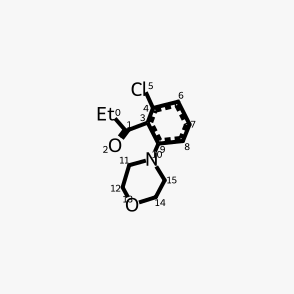 CCC(=O)c1c(Cl)cccc1N1CCOCC1